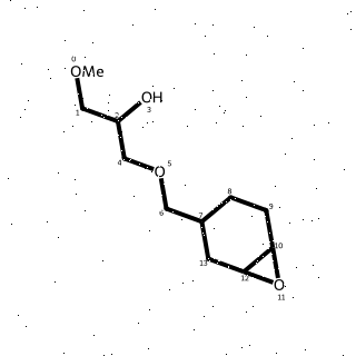 COCC(O)COCC1CCC2OC2C1